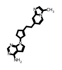 Cc1cnc2cc(CCC3=CC(n4ccc5c(N)ncnc54)CC3)ccn12